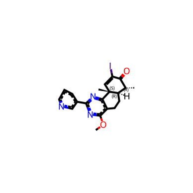 COc1nc(-c2cccnc2)nc2c1CC[C@@H]1[C@@H](C)C(=O)C(I)=C[C@@]21C